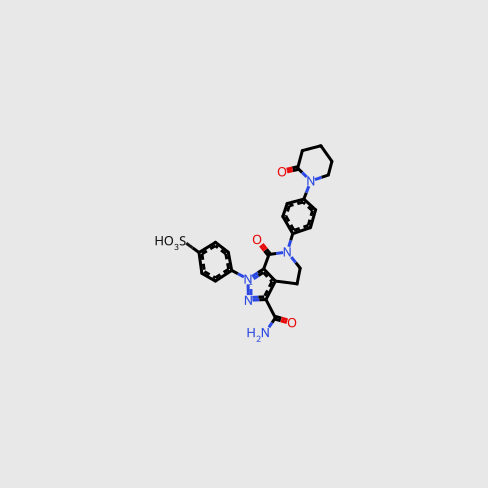 NC(=O)c1nn(-c2ccc(S(=O)(=O)O)cc2)c2c1CCN(c1ccc(N3CCCCC3=O)cc1)C2=O